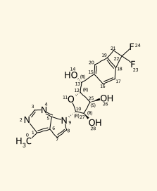 Cc1ncnc2c1ccn2[C@@H]1O[C@H]([C@H](O)c2ccc3c(c2)CC3(F)F)[C@@H](O)[C@H]1O